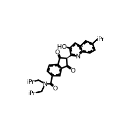 CC(C)CN(CC(C)C)C(=O)c1ccc2c(c1)C(=O)[C@H](c1nc3ccc(C(C)C)cc3cc1O)C2=O